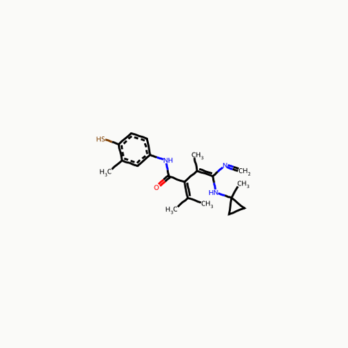 C=N/C(NC1(C)CC1)=C(\C)C(C(=O)Nc1ccc(S)c(C)c1)=C(C)C